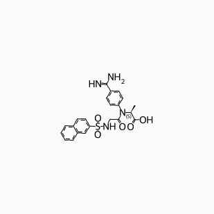 C[C@@H](C(=O)O)N(C(=O)CNS(=O)(=O)c1ccc2ccccc2c1)c1ccc(C(=N)N)cc1